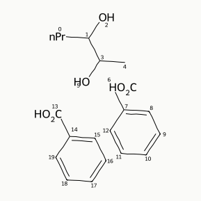 CCCC(O)C(C)O.O=C(O)c1ccccc1.O=C(O)c1ccccc1